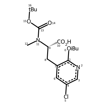 CC(C)COc1ncc(Cl)cc1C[C@@H](C(=O)O)N(C)C(=O)OC(C)(C)C